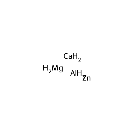 [AlH3].[CaH2].[MgH2].[Zn]